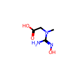 CN(CC(=O)O)C(N)=NO